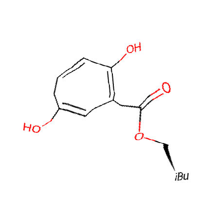 CC[C@H](C)COC(=O)c1cc(O)ccc1O